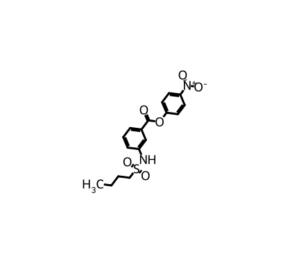 CCCCS(=O)(=O)Nc1cccc(C(=O)Oc2ccc([N+](=O)[O-])cc2)c1